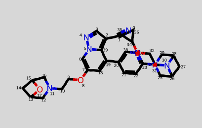 N#Cc1cnn2cc(OCCN3CC4CC(C3)O4)cc(-c3ccc(N4CC5CC(C4)N5CCOC4CC4)nc3)c12